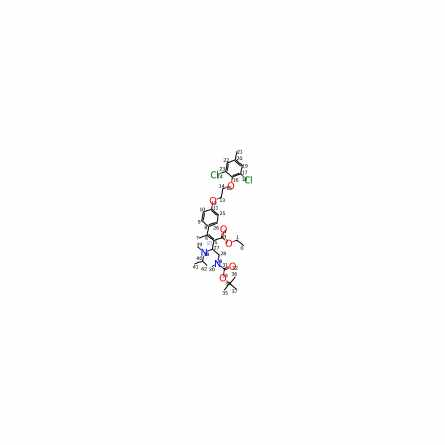 CCOC(=O)/C(=C(/C)c1ccc(OCCOc2c(Cl)cc(C)cc2Cl)cc1)C(CN(C)C(=O)OC(C)(C)C)N(C)C(C)C